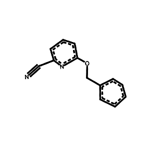 N#Cc1cccc(OCc2ccccc2)n1